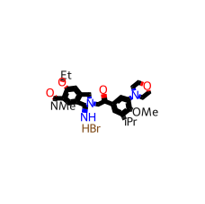 Br.CCOc1cc2c(cc1C(=O)NC)C(=N)N(CC(=O)c1cc(C(C)C)c(OC)c(N3CCOCC3)c1)C2